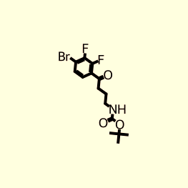 CC(C)(C)OC(=O)NCCCC(=O)c1ccc(Br)c(F)c1F